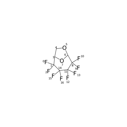 FC1(F)C2COC(O2)C(F)(F)C(F)(F)C1(F)F